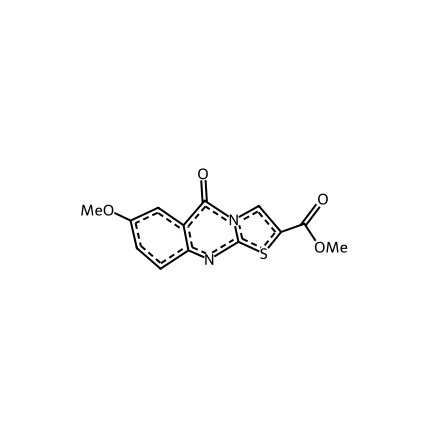 COC(=O)c1cn2c(=O)c3cc(OC)ccc3nc2s1